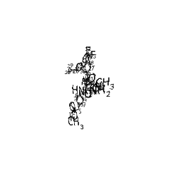 CCOC(=O)Cc1ccc(NC(=O)c2nc(-c3ccc(OC(F)F)c(OCC4CC4)c3)oc2C(C)N)cc1.Cl